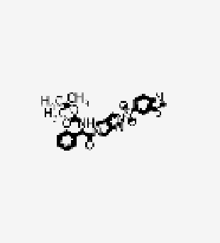 CC(C)(C)OC(=O)N[C@@H](C(=O)N1Cc2cn(S(=O)(=O)c3ccc4ncsc4c3)nc2C1)c1ccccc1